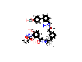 CC(C)(Cc1cccc(CC(=O)NCc2cccc(-c3ccc(O)cc3)c2)c1)NC[C@@H](O)c1ccc(O)c(NS(C)(=O)=O)c1